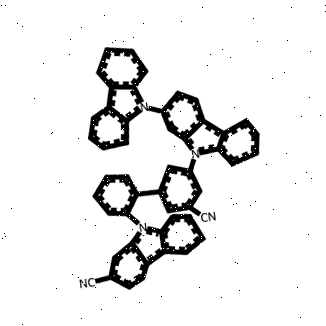 N#Cc1cc(-c2ccccc2-n2c3ccccc3c3ccc(C#N)cc32)cc(-n2c3ccccc3c3ccc(-n4c5ccccc5c5ccccc54)cc32)c1